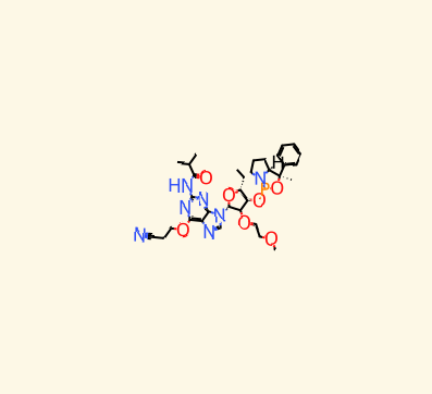 CC[C@H]1O[C@@H](n2cnc3c(OCCC#N)nc(NC(=O)C(C)C)nc32)C(OCCOC)[C@H]1O[P@@]1O[C@](C)(c2ccccc2)[C@@H]2CCCN21